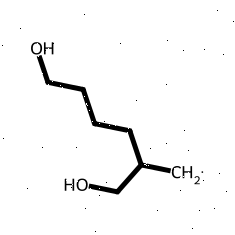 [CH2]C(CO)CCCCO